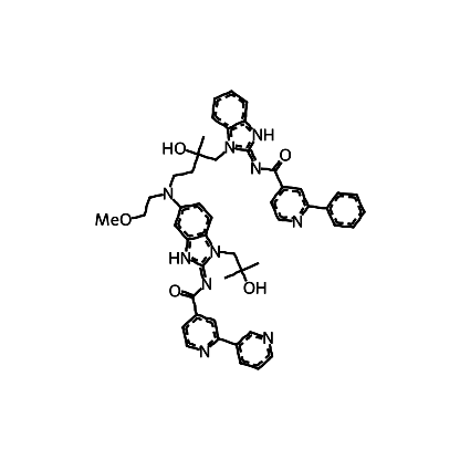 COCCN(CCC(C)(O)Cn1/c(=N/C(=O)c2ccnc(-c3ccccc3)c2)[nH]c2ccccc21)c1ccc2c(c1)[nH]/c(=N\C(=O)c1ccnc(-c3cccnc3)c1)n2CC(C)(C)O